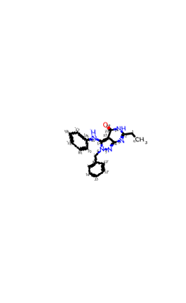 CCc1nc2nn(Cc3ccccc3)c(Nc3ccccc3)c2c(=O)[nH]1